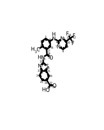 Cc1ccc(Nc2nccc(C(F)(F)F)n2)cc1C(=O)Nc1nc2ccc(C(=O)O)cc2s1